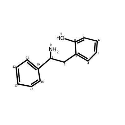 NC(Cc1ccccc1O)c1ccccc1